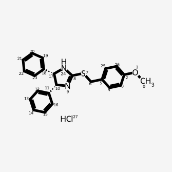 COc1ccc(CSC2=N[C@H](c3ccccc3)[C@H](c3ccccc3)N2)cc1.Cl